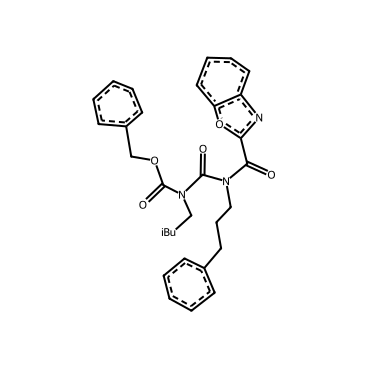 CCC(C)CN(C(=O)OCc1ccccc1)C(=O)N(CCCc1ccccc1)C(=O)c1nc2ccccc2o1